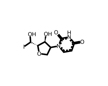 O=c1ccn(C2CO[C@H](C(O)I)[C@H]2O)c(=O)[nH]1